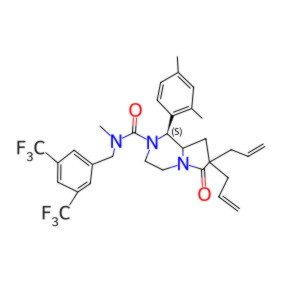 C=CCC1(CC=C)CC2[C@H](c3ccc(C)cc3C)N(C(=O)N(C)Cc3cc(C(F)(F)F)cc(C(F)(F)F)c3)CCN2C1=O